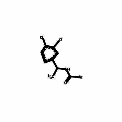 CC(=O)C(=O)NC(C)c1ccc(Cl)c(Cl)c1